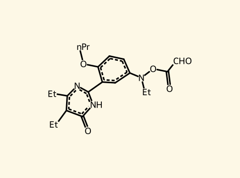 CCCOc1ccc(N(CC)OC(=O)C=O)cc1-c1nc(CC)c(CC)c(=O)[nH]1